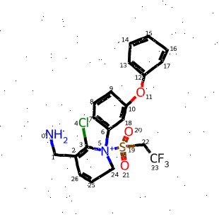 NCC1=C(Cl)[N+](c2cccc(Oc3ccccc3)c2)(S(=O)(=O)CC(F)(F)F)CC=C1